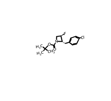 CC(C)(C)OC(=O)N1C[C@@H](F)[C@@H]1Cc1ccc(Cl)cc1